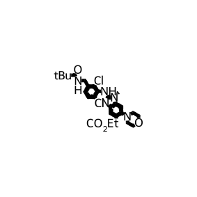 CCOC(=O)c1cc2nc(Nc3c(Cl)ccc(CNC(=O)C(C)(C)C)c3Cl)n(C)c2cc1N1CCOCC1